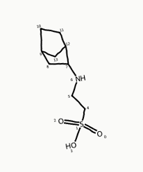 O=S(=O)(O)CCNC1CC2CCC1C2